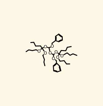 CCCCOC(CCCC)(OCCCC)OC(OCc1ccccc1)OC(OCc1ccccc1)OC(CCCC)(OCCCC)OCCCC